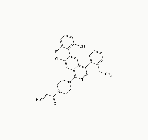 C=CC(=O)N1CCN(c2nnc(-c3ccccc3CC)c3cc(-c4c(O)cccc4F)c(Cl)cc23)CC1